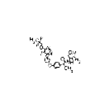 CC(CO)NC(=O)C(C)c1ccc(O[C@@H]2CCN(c3ncnc(OCC(C)(F)F)c3F)C2)cc1